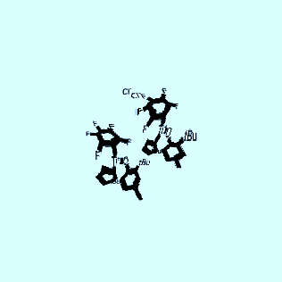 Cc1cc(C(C)(C)C)c([O][Ti+]([C]2=CC=CC2)[c]2c(F)c(F)c(F)c(F)c2F)c(C(C)(C)C)c1.Cc1cc(C(C)(C)C)c([O][Ti+]([C]2=CC=CC2)[c]2c(F)c(F)c(F)c(F)c2F)c(C(C)(C)C)c1.[Cl-].[Cl-]